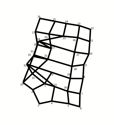 CC12C3CC4C5CC6C7C8C9C%10CC%11C%12C%13CC%14C%15C%16C3C13C%161C%15%16C%13%14C%12%13C%11%10C9%10C89C78C56C42C38C19C%13%16%10